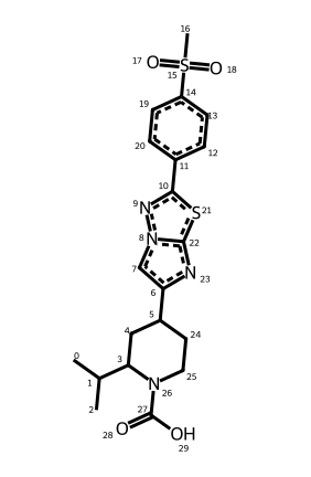 CC(C)C1CC(c2cn3nc(-c4ccc(S(C)(=O)=O)cc4)sc3n2)CCN1C(=O)O